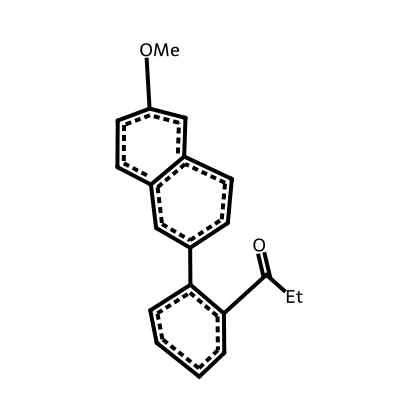 CCC(=O)c1ccccc1-c1ccc2cc(OC)ccc2c1